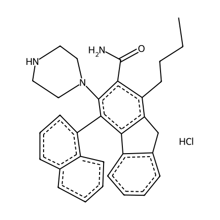 CCCCc1c2c(c(-c3cccc4ccccc34)c(N3CCNCC3)c1C(N)=O)-c1ccccc1C2.Cl